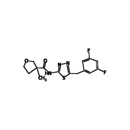 CC1(C(=O)Nc2nnc(Cc3cc(F)cc(F)c3)s2)CCOC1